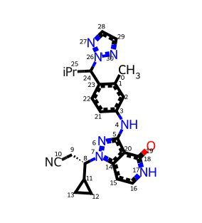 Cc1cc(Nc2nn([C@@H](CC#N)C3CC3)c3cc[nH]c(=O)c23)ccc1C(C(C)C)n1nccn1